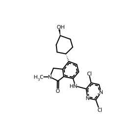 CN1Cc2c(c(Nc3nc(Cl)ncc3Cl)ccc2[C@H]2CC[C@H](O)CC2)C1=O